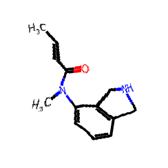 CC=CC(=O)N(C)c1cccc2c1CNC2